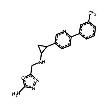 Nc1nnc(CNC2CC2c2ccc(-c3cccc(C(F)(F)F)c3)nc2)o1